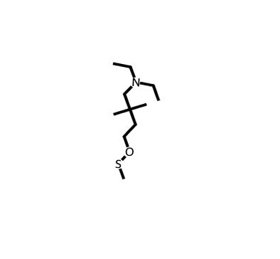 CCN(CC)CC(C)(C)CCOSC